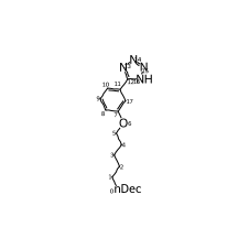 CCCCCCCCCCCCCCCOc1cccc(-c2nnn[nH]2)c1